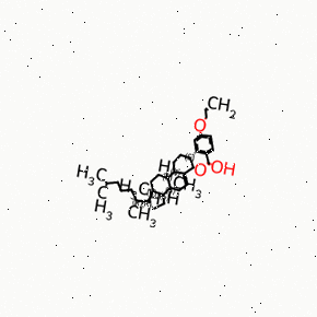 C=CCOc1ccc(C(=O)O)c([C@H]2CC[C@@]3(C)C(=CC[C@H]4[C@@H]5CC[C@H]([C@H](C)CCCC(C)C)[C@@]5(C)CC[C@@H]43)C2)c1